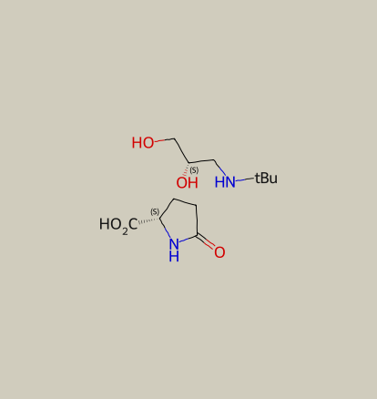 CC(C)(C)NC[C@H](O)CO.O=C1CC[C@@H](C(=O)O)N1